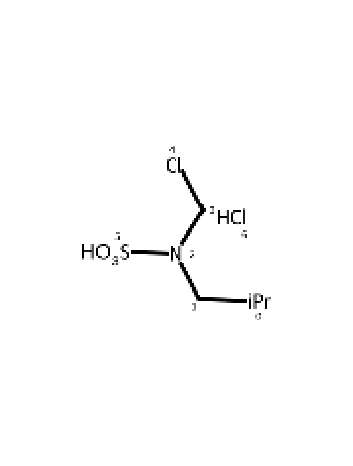 CC(C)CN(CCl)S(=O)(=O)O.Cl